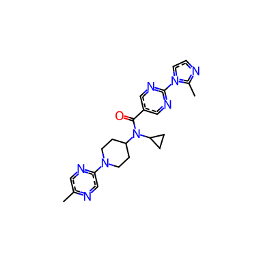 Cc1cnc(N2CCC(N(C(=O)c3cnc(-n4ccnc4C)nc3)C3CC3)CC2)cn1